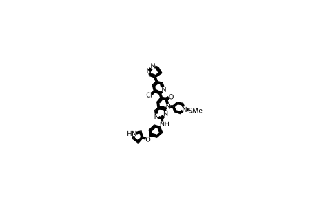 CSN1CCC(n2c(=O)c(-c3ncc(-c4ccnnc4)cc3Cl)cc3cnc(Nc4ccc(OC5CCNC5)cc4)nc32)CC1